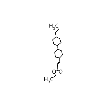 CCC[C@H]1CC[C@H](C2CCC(C=CC(=O)OCC)CC2)CC1